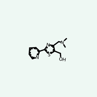 CN(C)Cc1nc(-c2ccccn2)sc1CO